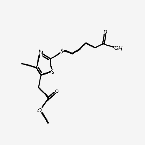 COC(=O)Cc1sc(SCCCC(=O)O)nc1C